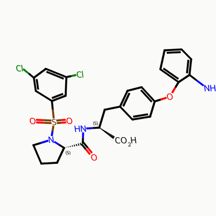 Nc1ccccc1Oc1ccc(C[C@H](NC(=O)[C@@H]2CCCN2S(=O)(=O)c2cc(Cl)cc(Cl)c2)C(=O)O)cc1